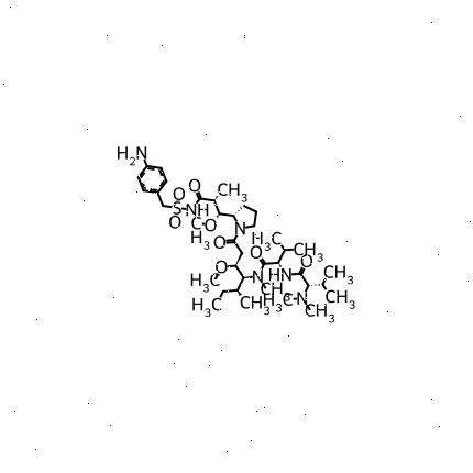 CC[C@H](C)[C@@H]([C@H](CC(=O)N1CCC[C@H]1[C@H](OC)[C@@H](C)C(=O)NS(=O)(=O)Cc1ccc(N)cc1)OC)N(C)C(=O)[C@@H](NC(=O)[C@H](C(C)C)N(C)C)C(C)C